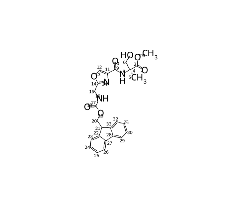 COC(=O)[C@](C)(CO)NC(=O)c1coc(CNC(=O)OCC2c3ccccc3-c3ccccc32)n1